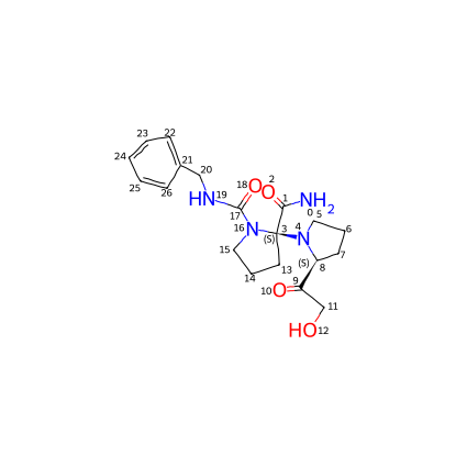 NC(=O)[C@]1(N2CCC[C@H]2C(=O)CO)CCCN1C(=O)NCc1ccccc1